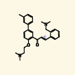 Cc1cccc(-c2ccc(OCCN(C)C)c(C(=O)/C=C/c3ccccc3CN(C)C)c2)c1